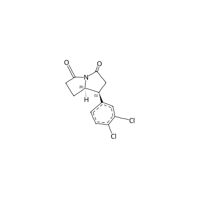 O=C1CC[C@@H]2[C@H](c3ccc(Cl)c(Cl)c3)CC(=O)N12